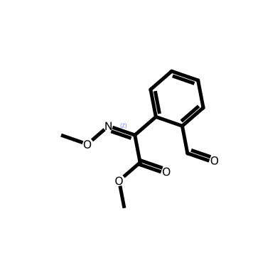 CO/N=C(\C(=O)OC)c1ccccc1C=O